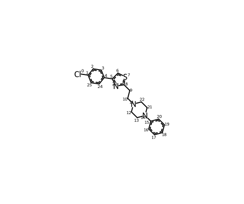 Clc1ccc(-c2csc(CCN3CCN(c4ccccc4)CC3)n2)cc1